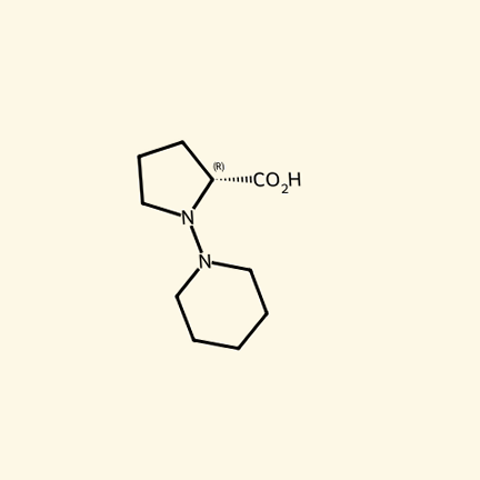 O=C(O)[C@H]1CCCN1N1CCCCC1